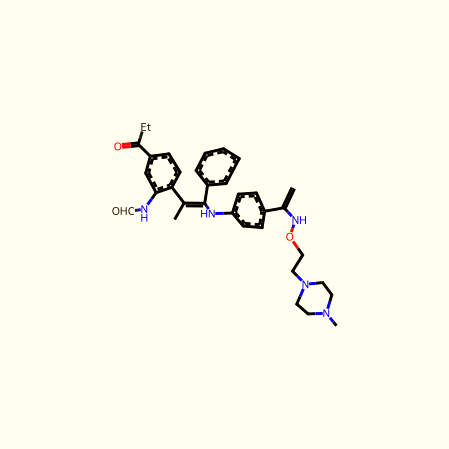 C=C(NOCCN1CCN(C)CC1)c1ccc(N/C(=C(\C)c2ccc(C(=O)CC)cc2NC=O)c2ccccc2)cc1